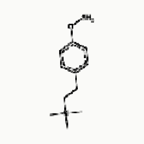 C[Si](C)(C)CCc1ccc(O[SiH3])cc1